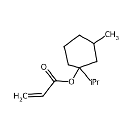 C=CC(=O)OC1(C(C)C)CCCC(C)C1